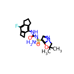 CC1(C)Cn2ncc([S@@](N)(=O)=NC(=O)Nc3c4c(c(F)c5c3CC5)CCC4)c2O1